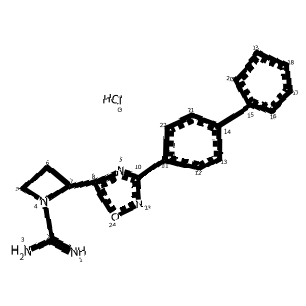 Cl.N=C(N)N1CCC1c1nc(-c2ccc(-c3ccccc3)cc2)no1